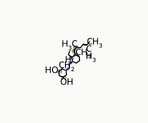 C=C1/C(=C\C=C2/CCC[C@]3(C)[C@@H]([C@H](C)CC=C(C)C)CC[C@@H]23)C[C@@H](O)C[C@@H]1O